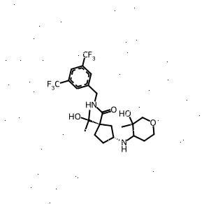 CC1(O)COCCC1N[C@@H]1CC[C@@](C(=O)NCc2cc(C(F)(F)F)cc(C(F)(F)F)c2)(C(C)(C)O)C1